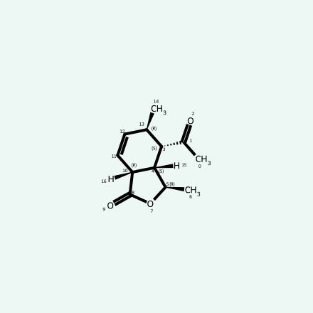 CC(=O)[C@@H]1[C@@H]2[C@@H](C)OC(=O)[C@@H]2C=C[C@H]1C